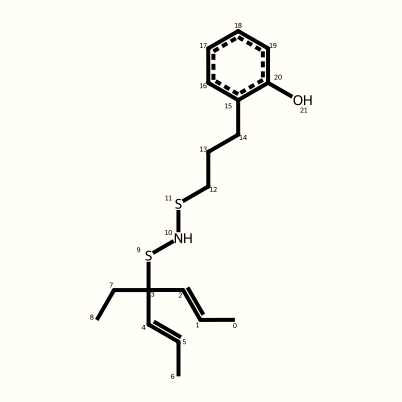 CC=CC(C=CC)(CC)SNSCCCc1ccccc1O